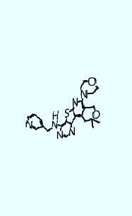 CC1(C)Cc2c(c(N3CCOCC3)nc3sc4c(NCc5cccnc5)ncnc4c23)CO1